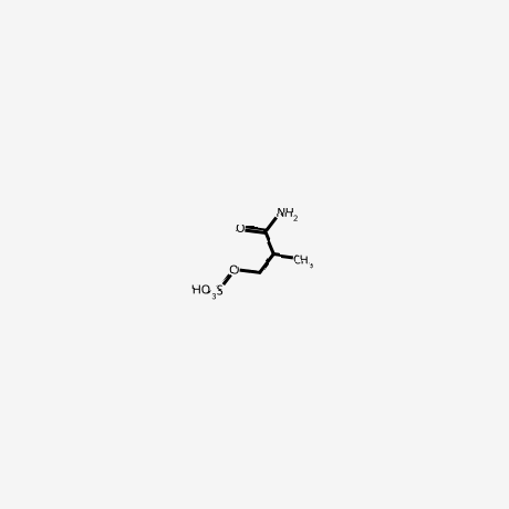 CC(COS(=O)(=O)O)C(N)=O